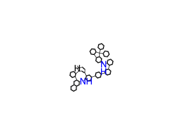 CC1C=CC2=C[C@@H]1c1ccccc1-c1cc3ccccc3cc1Nc1ccc(-c3ccc(-c4cccc(-c5ccccc5Nc5ccc6c(c5)C(c5ccccc5)(c5ccccc5)c5ccccc5-6)c4)cc3)cc12